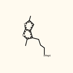 CCCCCCCCCCc1c(C)sc2sc(C)cc12